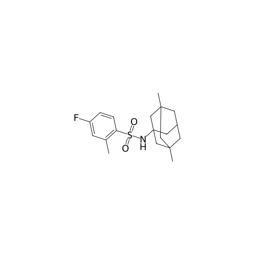 Cc1cc(F)ccc1S(=O)(=O)NC12CC3CC(C)(CC(C)(C3)C1)C2